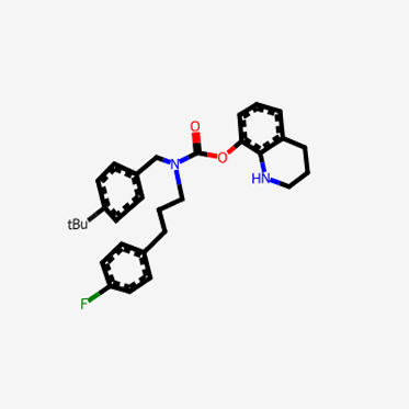 CC(C)(C)c1ccc(CN(CCCc2ccc(F)cc2)C(=O)Oc2cccc3c2NCCC3)cc1